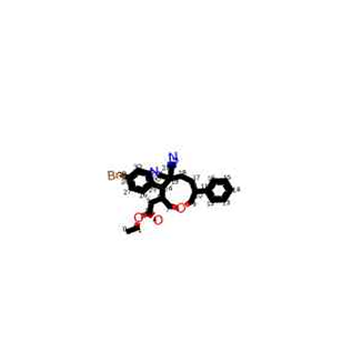 CCOC(=O)CC1COCC(c2ccccc2)CCC(C#N)(C#N)C1c1ccc(Br)cc1